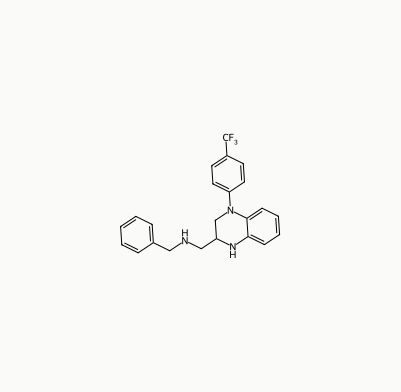 FC(F)(F)c1ccc(N2CC(CNCc3ccccc3)Nc3ccccc32)cc1